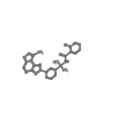 Cn1cnc2cnc3sc(-c4cccc(C(C)(C)NC(=O)c5cccc[n+]5[O-])c4)nc3c21